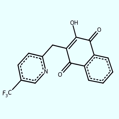 O=C1C(O)=C(Cc2ccc(C(F)(F)F)cn2)C(=O)c2ccccc21